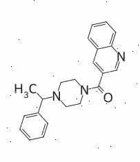 CC(c1ccccc1)N1CCN(C(=O)c2cnc3ccccc3c2)CC1